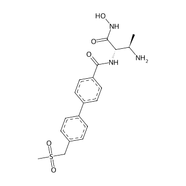 C[C@@H](N)[C@H](NC(=O)c1ccc(-c2ccc(CS(C)(=O)=O)cc2)cc1)C(=O)NO